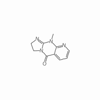 CN1C2=NCCN2C(=O)c2cccnc21